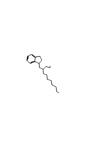 CCCCCCCCC(CC=O)CC1CCc2ccccc21